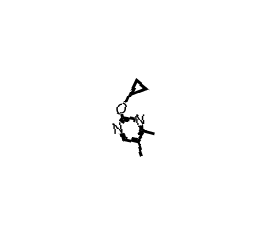 Cc1cnc(OC2CC2)nc1C